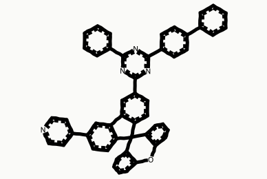 c1ccc(-c2ccc(-c3nc(-c4ccccc4)nc(-c4ccc5c(c4)-c4cc(-c6ccncc6)ccc4C54c5ccccc5Oc5ccccc54)n3)cc2)cc1